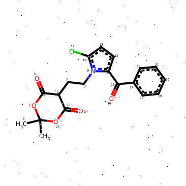 CC1(C)OC(=O)C(CCn2c(Cl)ccc2C(=O)c2ccccc2)C(=O)O1